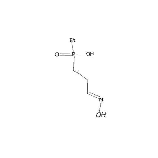 CCP(=O)(O)CCC=NO